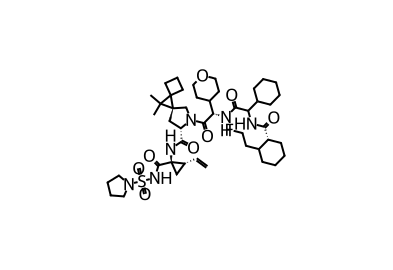 C=C[C@@H]1C[C@]1(NC(=O)[C@@H]1C[C@@]2(CN1C(=O)[C@@H](NC(=O)C(NC(=O)[C@@H]1CCCCC1CCF)C1CCCCC1)C1CCOCC1)C(C)(C)C21CCC1)C(=O)NS(=O)(=O)N1CCCC1